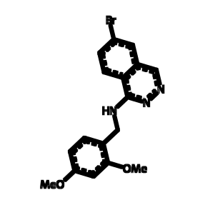 COc1ccc(CNc2nncc3cc(Br)ccc23)c(OC)c1